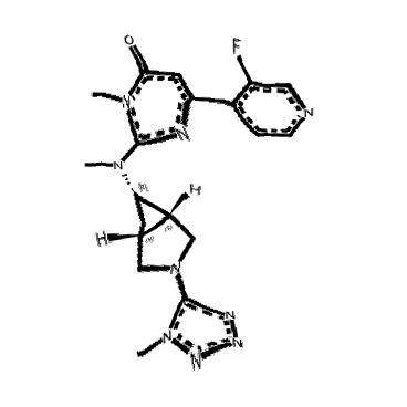 CN(c1nc(-c2ccncc2F)cc(=O)n1C)[C@@H]1[C@@H]2CN(c3nnnn3C)C[C@@H]21